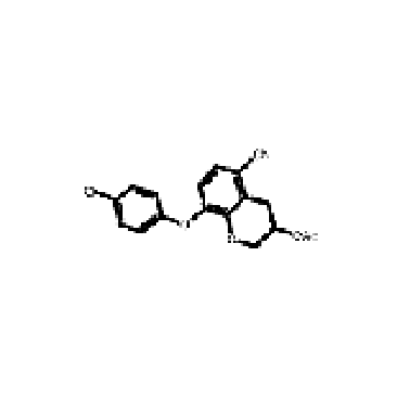 CC(=O)OC1COc2c(Oc3ccc(Cl)cc3)ccc(C#N)c2C1